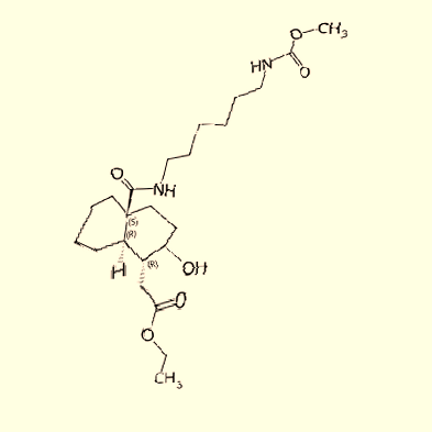 CCOC(=O)C[C@H]1C(O)CC[C@@]2(C(=O)NCCCCCCNC(=O)OC)CCCC[C@H]12